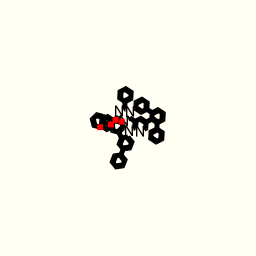 c1ccc(-c2ccc3c(c2)c2cc(-c4ccccc4)ccc2n3-c2ncc(-c3c(-c4ccccc4)cccc3-c3ccccc3)cc2-c2nc(-c3ccccc3)nc(-c3ccccc3)n2)cc1